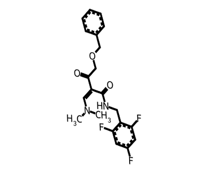 CN(C)/C=C(/C(=O)COCc1ccccc1)C(=O)NCc1c(F)cc(F)cc1F